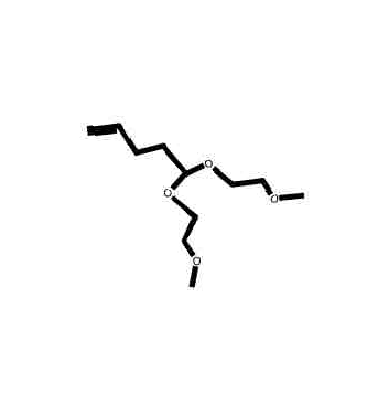 C=CCCC(OCCOC)OCCOC